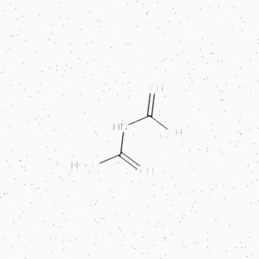 C=C(C)NC(=C)C(=O)O